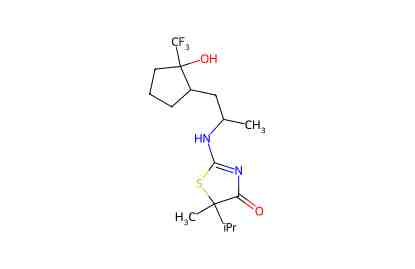 CC(CC1CCCC1(O)C(F)(F)F)NC1=NC(=O)C(C)(C(C)C)S1